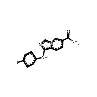 NC(=O)c1ccc2c(Nc3ccc(I)cc3)ncn2c1